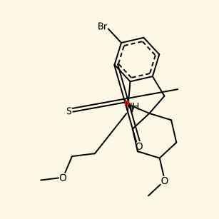 COCCN1C(=O)C2(NC1=S)c1cc(Br)ccc1CC21CCC(OC)CC1